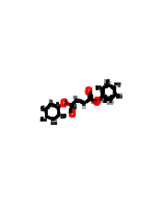 O=C(C=CC(=O)OC1CCCCC1)Oc1ccccc1